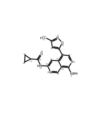 CNc1ncc(-c2cc(C)no2)c2cc(NC(=O)C3CC3)ncc12